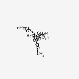 CC#CCOc1ccc(CCN(C(=O)OCOC(C)=O)C(=O)[C@@H](/C=C/CCCCCCC(=O)CCCCCCC)[C@@](O)(CC(=O)O)C(=O)O)cc1